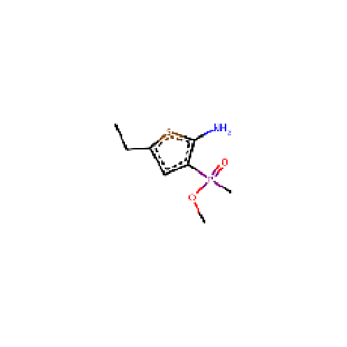 CCc1cc(P(C)(=O)OC)c(N)s1